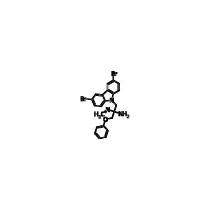 C=NC(N)(COc1ccccc1)Cn1c2ccc(Br)cc2c2cc(Br)ccc21